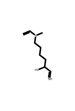 C=CN(C)CCCCC(S)C=N